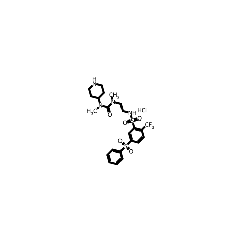 CN(CCNS(=O)(=O)c1cc(S(=O)(=O)c2ccccc2)ccc1C(F)(F)F)C(=O)N(C)C1CCNCC1.Cl